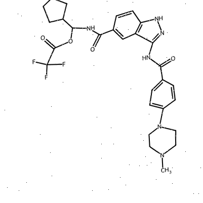 CN1CCN(c2ccc(C(=O)Nc3n[nH]c4ccc(C(=O)NC(OC(=O)C(F)(F)F)C5CCCC5)cc34)cc2)CC1